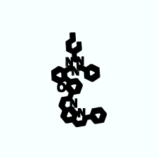 C=C/C=C\C(=C/C)c1nc(-c2ccccc2)nc(-c2cccc3oc4c(-c5ccc6ccc7ccc(-c8ccccc8)nc7c6n5)cccc4c23)n1